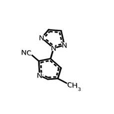 Cc1cnc(C#N)c(-n2nccn2)c1